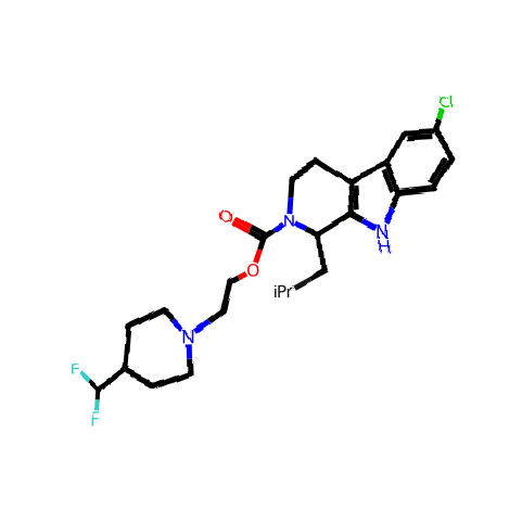 CC(C)CC1c2[nH]c3ccc(Cl)cc3c2CCN1C(=O)OCCN1CCC(C(F)F)CC1